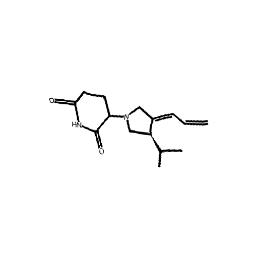 C=C/C=C1/CN(C2CCC(=O)NC2=O)C[C@@H]1C(C)C